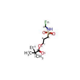 CCC(C)(C)C(=O)OCCCS(=O)(=O)NCF